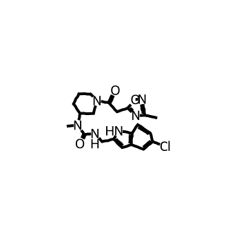 Cc1noc(CC(=O)N2CCCC(N(C)C(=O)NCc3cc4cc(Cl)ccc4[nH]3)C2)n1